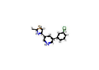 Cc1nc(-c2cncc(-c3cccc(Cl)c3)c2)cs1